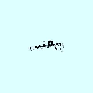 CCCCOC(=O)Nc1cccc(N(CC)CC)c1